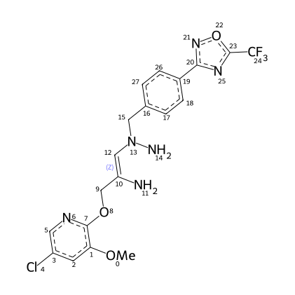 COc1cc(Cl)cnc1OC/C(N)=C/N(N)Cc1ccc(-c2noc(C(F)(F)F)n2)cc1